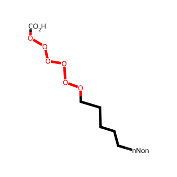 CCCCCCCCCCCCCCOOOOOOC(=O)O